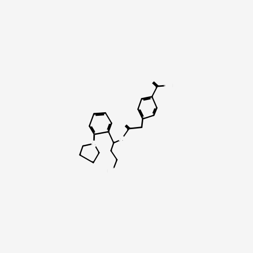 CCCC(NC(=O)Cc1ccc(C(=O)O)cc1)c1ccccc1N1CCCC1